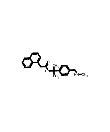 CNCc1ccc(C(C)(C)NC(=O)Cc2cccc3ccccc23)cc1